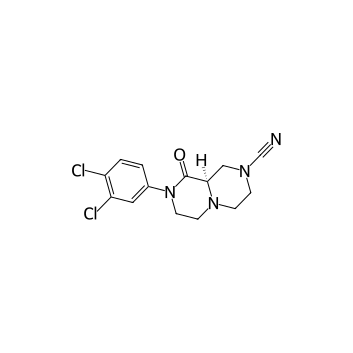 N#CN1CCN2CCN(c3ccc(Cl)c(Cl)c3)C(=O)[C@H]2C1